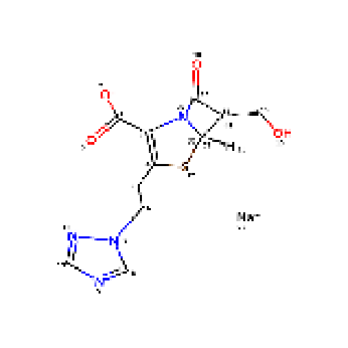 O=C([O-])C1=C(CCn2cncn2)S[C@@H]2[C@@H](CO)C(=O)N12.[Na+]